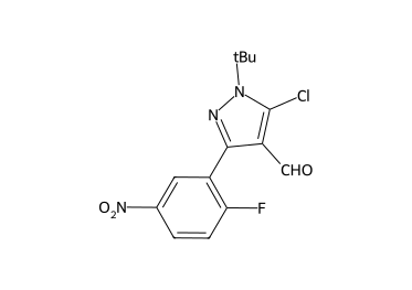 CC(C)(C)n1nc(-c2cc([N+](=O)[O-])ccc2F)c(C=O)c1Cl